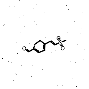 CS(=O)(=O)/C=C/C1=CC=C(C=O)CC1